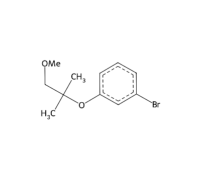 COCC(C)(C)Oc1cccc(Br)c1